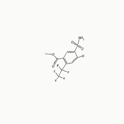 COC(=O)c1cc(S(N)(=O)=O)c(Cl)cc1C(F)(F)C(F)(F)F